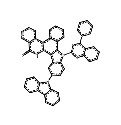 O=c1[nH]c2c(c3ccccc13)c1ccccc1c1c2c2cc(-n3c4ccccc4c4ccccc43)ccc2n1-c1nc(-c2ccccc2)c2ccccc2n1